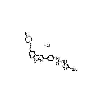 CCN1CCN(CCc2ccc3sc4nc(-c5ccc(NC(=O)Nc6cc(C(C)(C)C)on6)cc5)cn4c3c2)CC1.Cl